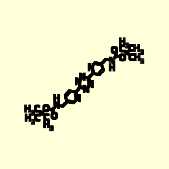 CC(C)(C)OC(=O)NCc1ccc(-c2nnc(-c3ccc(CNC(=O)OC(C)(C)C)cn3)nn2)nc1